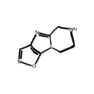 c1noc2c1nc1n2CCNC1